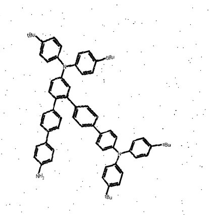 CC(C)(C)c1ccc(N(c2ccc(-c3ccc(-c4cc(N(c5ccc(C(C)(C)C)cc5)c5ccc(C(C)(C)C)cc5)ccc4-c4ccc(-c5ccc(N)cc5)cc4)cc3)cc2)c2ccc(C(C)(C)C)cc2)cc1